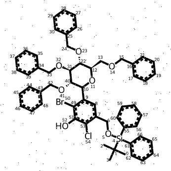 CC(C)(C)[Si](OCc1cc(C2O[C@H](COCc3ccccc3)[C@@H](OCc3ccccc3)[C@H](OCc3ccccc3)[C@H]2OCc2ccccc2)c(Br)c(O)c1Cl)(c1ccccc1)c1ccccc1